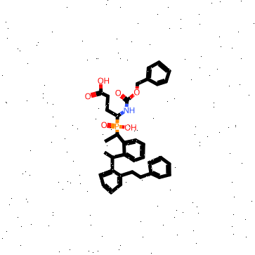 CC(c1ccccc1CCc1ccccc1)c1ccccc1C(C)P(=O)(O)C(CCC(=O)O)NC(=O)OCc1ccccc1